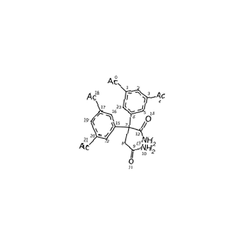 CC(=O)c1cc(C(C)=O)cc(C(CC(N)=O)(C(N)=O)c2cc(C(C)=O)cc(C(C)=O)c2)c1